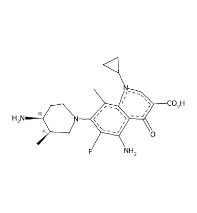 Cc1c(N2CC[C@H](N)[C@H](C)C2)c(F)c(N)c2c(=O)c(C(=O)O)cn(C3CC3)c12